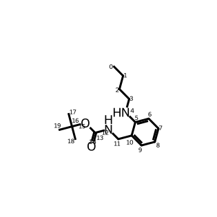 CCCCNc1ccccc1CNC(=O)OC(C)(C)C